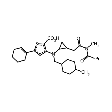 CC1CCC(CN(c2cc(C3=CCCCC3)sc2C(=O)O)C2CC2CC(=O)N(C)C(=O)C(C)C)CC1